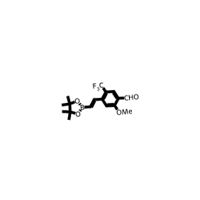 COc1cc(/C=C/B2OC(C)(C)C(C)(C)O2)c(C(F)(F)F)cc1C=O